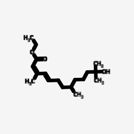 CCOC(=O)C=C(C)C=CCCC(C)CCCC(C)(C)O